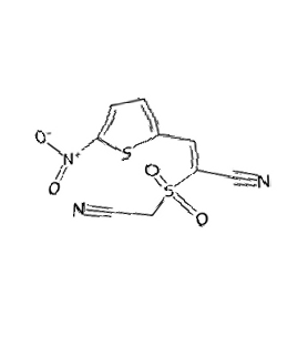 N#CCS(=O)(=O)C(C#N)=Cc1ccc([N+](=O)[O-])s1